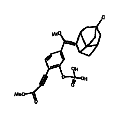 COC(=O)C#Cc1ccc(C(OC)=C2C3CC4CC2CC(Cl)(C4)C3)cc1OP(=O)(O)O